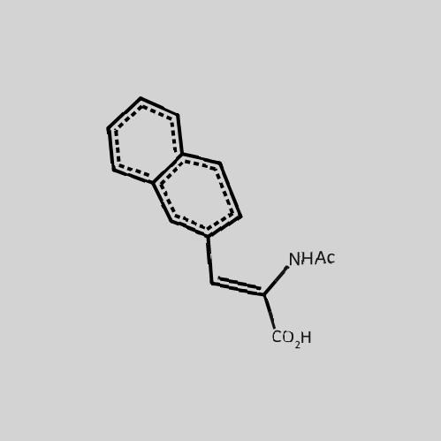 CC(=O)N/C(=C\c1ccc2ccccc2c1)C(=O)O